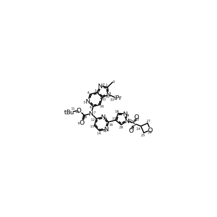 Cc1nc2cnc(N(C(=O)OC(C)(C)C)c3ccnc(-c4cnn(S(=O)(=O)C5COC5)c4)n3)cc2n1C(C)C